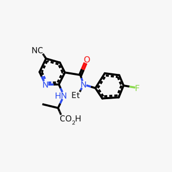 CCN(C(=O)c1cc(C#N)cnc1NC(C)C(=O)O)c1ccc(F)cc1